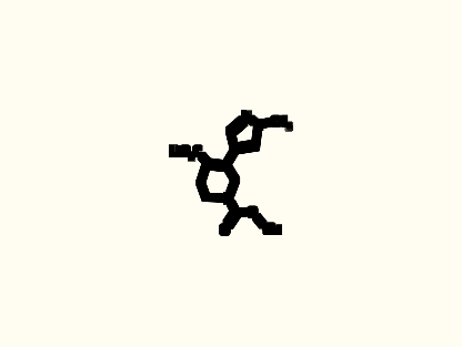 CCOC(=O)C1=C(c2cnn(C)c2)CN(C(=O)OC(C)(C)C)CC1